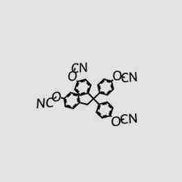 N#COc1ccc(CC(c2ccc(OC#N)cc2)(c2ccc(OC#N)cc2)c2ccc(OC#N)cc2)cc1